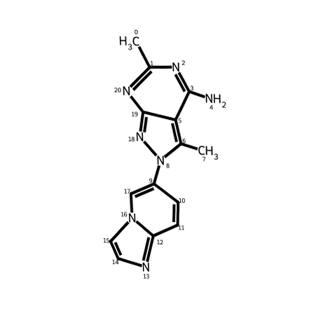 Cc1nc(N)c2c(C)n(-c3ccc4nccn4c3)nc2n1